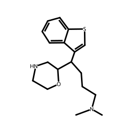 CN(C)CCCC(c1csc2ccccc12)C1CNCCO1